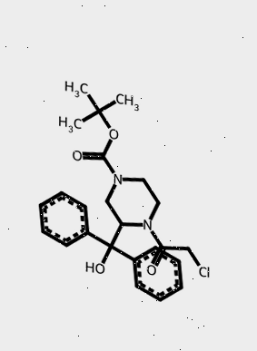 CC(C)(C)OC(=O)N1CCN(C(=O)CCl)C(C(O)(c2ccccc2)c2ccccc2)C1